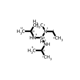 CCN(C)[SiH](NC(C)C)NC(C)C